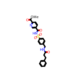 COC(=O)c1ccc(C(=O)NS(=O)(=O)c2ccc(CNC(=O)CCc3ccccc3)cc2)cn1